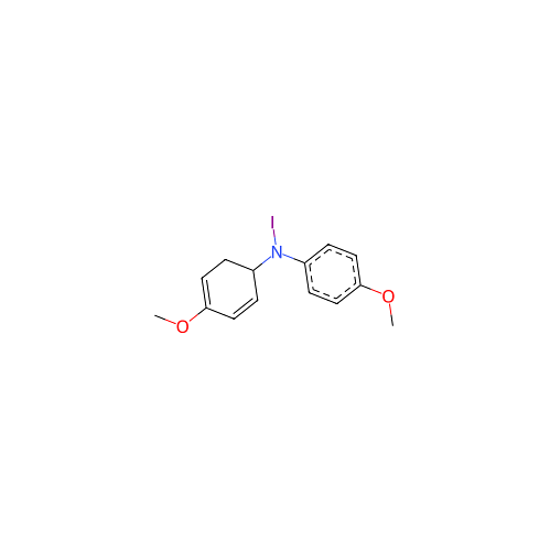 COC1=CCC(N(I)c2ccc(OC)cc2)C=C1